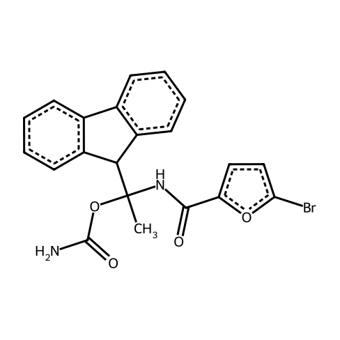 CC(NC(=O)c1ccc(Br)o1)(OC(N)=O)C1c2ccccc2-c2ccccc21